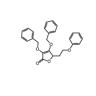 O=C1OC(CCOc2ccccc2)C(OCc2ccccc2)=C1OCc1ccccc1